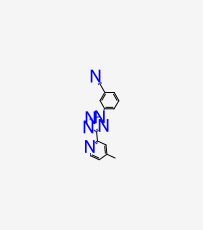 Cc1ccnc(-c2nnn(-c3cccc(C#N)c3)n2)c1